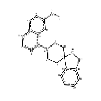 COc1ccc2ncnc(N3CCC4(CC3)OCc3ccccc34)c2c1